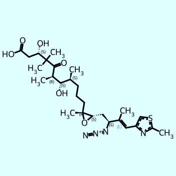 C/C(=C\c1csc(C)n1)[C@H](C[C@@H]1O[C@]1(C)CCC[C@H](C)[C@H](O)[C@@H](C)C(=O)C(C)(C)[C@@H](O)CC(=O)O)N=[N+]=[N-]